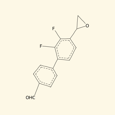 O=Cc1ccc(-c2ccc(C3CO3)c(F)c2F)cc1